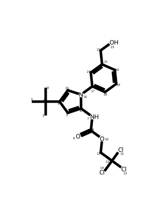 CC(C)(C)c1cc(NC(=O)OCC(Cl)(Cl)Cl)n(-c2cccc(CO)c2)c1